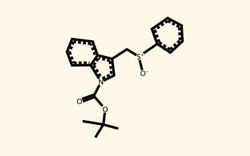 CC(C)(C)OC(=O)n1cc(C[S+]([O-])c2ccccc2)c2ccccc21